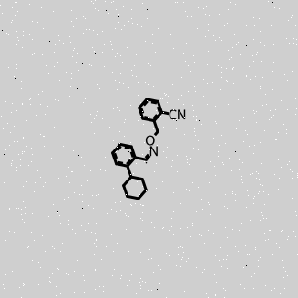 N#Cc1ccccc1CO/N=[C]\c1ccccc1C1CCCCC1